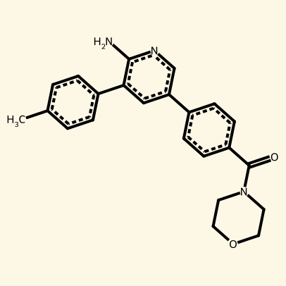 Cc1ccc(-c2cc(-c3ccc(C(=O)N4CCOCC4)cc3)cnc2N)cc1